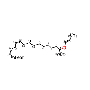 C/C=C/OC(CCCCCCCC/C=C\C/C=C\CCCCC)CCCCCCCCCC